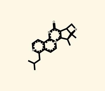 CC(C)Cc1nccc2c1ccn1c3c(c(=O)nc21)C1CN2C3(C)C12C